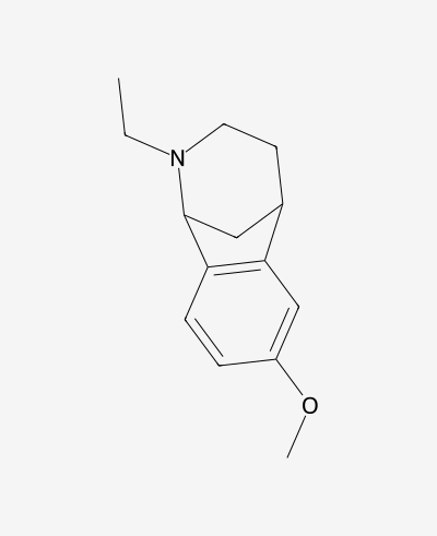 CCN1CCC2CC1c1ccc(OC)cc12